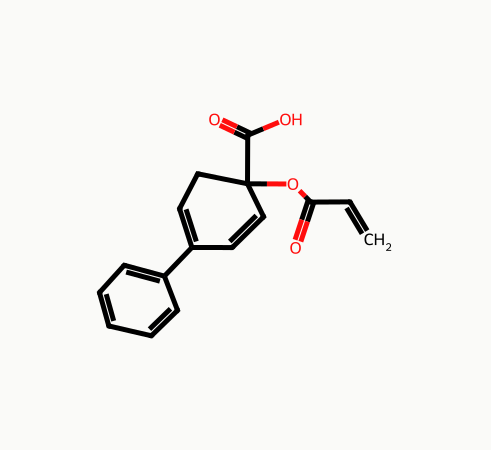 C=CC(=O)OC1(C(=O)O)C=CC(c2ccccc2)=CC1